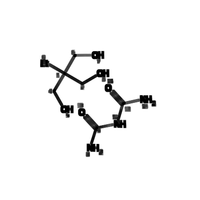 CCC(CO)(CO)CO.NC(=O)NC(N)=O